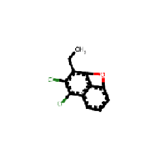 CCc1c(Cl)c(Cl)c2cccc3c2c1O3